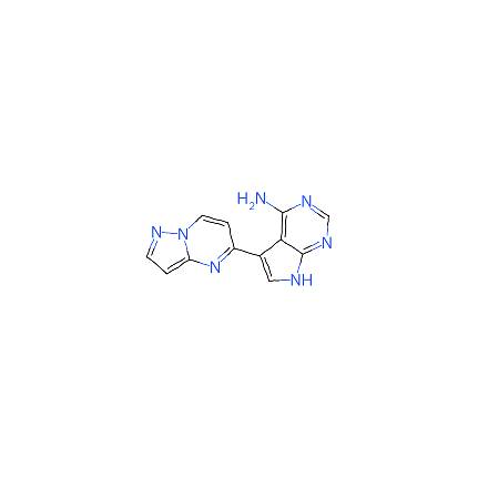 Nc1ncnc2[nH]cc(-c3ccn4nccc4n3)c12